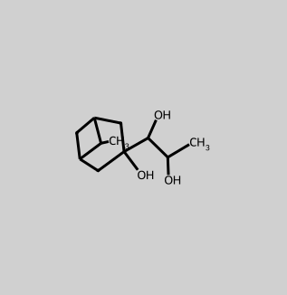 CC(O)C(O)C1(O)CC2CC(C1)C2C